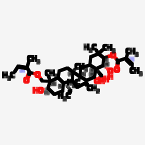 C=CCC1[C@@]2(C=C)CC[C@H](O)[C@](C)(COC(=O)/C(C)=C\C)C2CC[C@@]1(C)[C@@]1(C)CC2CC(C)(C)[C@@H](OC(=O)/C(C)=C\C)[C@H](O)[C@]2(CO)[C@H](O)C1